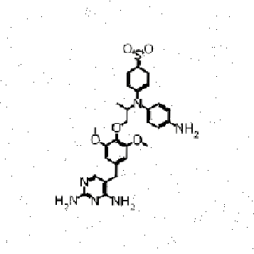 COc1cc(Cc2cnc(N)nc2N)cc(OC)c1OCC(C)N(C1=CCC(=S(=O)=O)C=C1)c1ccc(N)cc1